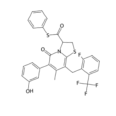 Cc1c(Cc2c(F)cccc2C(F)(F)F)c2n(c(=O)c1-c1cccc(O)c1)C(C(=O)Sc1ccccc1)CS2